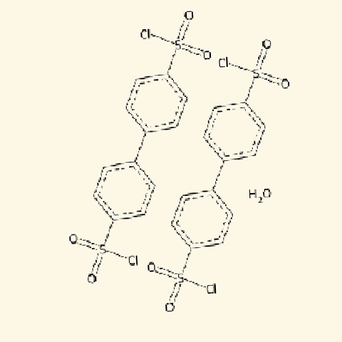 O.O=S(=O)(Cl)c1ccc(-c2ccc(S(=O)(=O)Cl)cc2)cc1.O=S(=O)(Cl)c1ccc(-c2ccc(S(=O)(=O)Cl)cc2)cc1